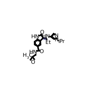 CC/C(Nc1cnn(C(C)C)c1)=C1/C(=O)Nc2ccc(C(=O)NCC3(C)COC3)cc21